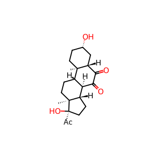 CC(=O)[C@@]1(O)CC[C@H]2[C@@H]3C(=O)C(=O)[C@H]4C[C@@H](O)CC[C@]4(C)[C@H]3CC[C@@]21C